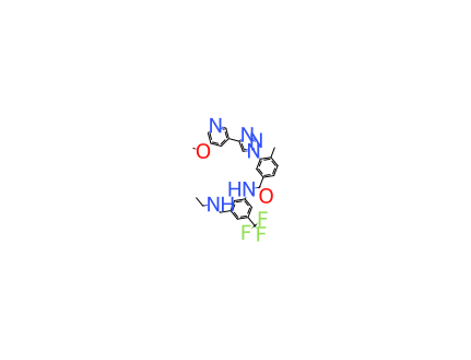 CCNCc1cc(NC(=O)c2ccc(C)c(-n3cc(-c4cncc(OC)c4)nn3)c2)cc(C(F)(F)F)c1